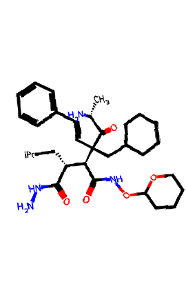 CC(C)C[C@@H](C(=O)NN)[C@H](C(=O)NOC1CCCCO1)C(/C=C/c1ccccc1)(CC1CCCCC1)C(=O)[C@@H](C)N